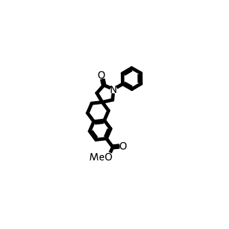 COC(=O)c1ccc2c(c1)CC1(CC2)CC(=O)N(c2ccccc2)C1